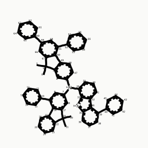 CC1(C)c2cc(N(c3cc(-c4ccccc4)c4c(c3)C(C)(C)c3ccccc3-4)c3cccc4c3sc3cccc(-c5ccccc5)c34)ccc2-c2c(-c3ccccc3)cc(-c3ccccc3)cc21